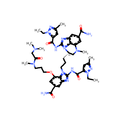 CCn1nc(C)cc1C(=O)Nc1nc2cc(C(N)=O)cc(OCCCN(C)C(=O)CN(C)C)c2n1CCC[C@H]1CN(C)c2cc(C(N)=O)cc3nc(NC(=O)c4cc(C)nn4CC)n1c23